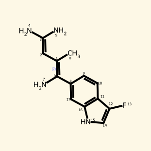 C/C(C=C(N)N)=C(/N)c1ccc2c(F)c[nH]c2c1